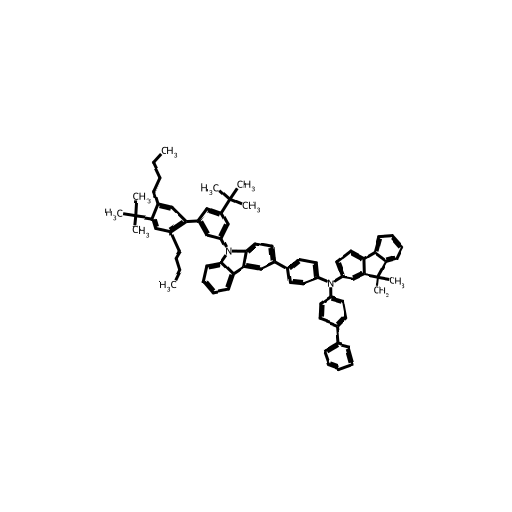 CCCCc1cc(C(C)(C)C)c(CCCC)cc1-c1cc(-n2c3ccccc3c3cc(-c4ccc(N(c5ccc(-c6ccccc6)cc5)c5ccc6c(c5)C(C)(C)c5ccccc5-6)cc4)ccc32)cc(C(C)(C)C)c1